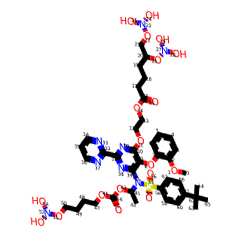 COc1ccccc1Oc1c(OCCOC(=O)CCCC(CON(O)O)ON(O)O)nc(-c2ncccn2)nc1N(C(C)OC(=O)OCCCCON(O)O)S(=O)(=O)c1ccc(C(C)(C)C)cc1